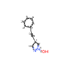 On1cc(C#Cc2ccccc2)cn1